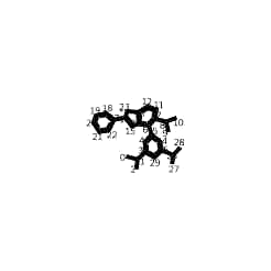 CC(C)c1cc(-c2c(C(C)C)ccc3c2C=C(c2ccccc2)[CH]3)cc(C(C)C)c1